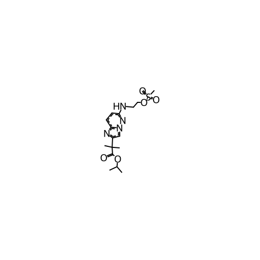 CC(C)OC(=O)C(C)(C)c1cn2nc(NCCOS(C)(=O)=O)ccc2n1